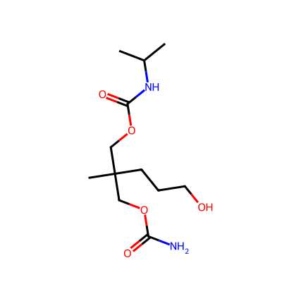 CC(C)NC(=O)OCC(C)(CCCO)COC(N)=O